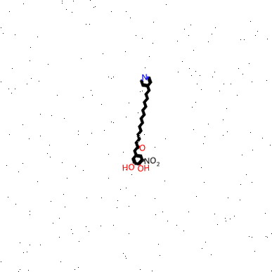 O=C(CCCCCCCCCCCCCCc1ccncc1)Cc1cc(O)c(O)c([N+](=O)[O-])c1